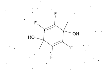 CC1(O)C(F)=C(F)C(C)(O)C(F)=C1F